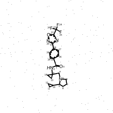 O=C(NC1(CN2CCCC2C2CC2)CC1)c1ccc(-c2noc(C(F)(F)F)n2)cc1